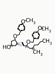 CCCC[C@H](C)C[C@@H](/C=C/[C@@H]1C[C@@H](O)CC1OCc1ccc(OC)cc1)OCc1ccc(OC)cc1